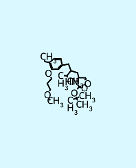 CCc1ccc(CC(CC(C=O)NC(=O)OC(C)(C)C)C(C)C)cc1OCCCOC